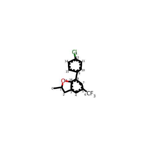 CC1Cc2cc(C(F)(F)F)cc(-c3ccc(Cl)cc3)c2O1